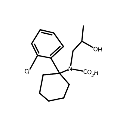 CC(O)CN(C(=O)O)C1(c2ccccc2Cl)CCCCC1